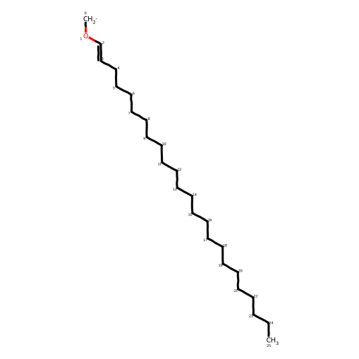 [CH2]O/C=C/CCCCCCCCCCCCCCCCCCCCCC